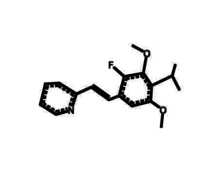 COc1cc(/C=C/c2ccccn2)c(F)c(OC)c1C(C)C